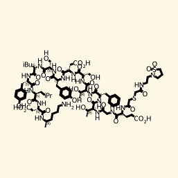 CC[C@H](C)[C@H](NC(=O)[C@H](CO)NC(=O)[C@H](Cc1ccc(O)cc1)NC(=O)[C@H](CC(=O)O)NC(=O)[C@H](CO)NC(=O)[C@@H](NC(=O)[C@H](Cc1ccccc1)NC(=O)[C@@H](NC(=O)CNC(=O)[C@H](CCC(=O)O)NC(=O)CSCC(=O)NCCN1CCCS1(=O)=O)[C@@H](C)O)[C@@H](C)O)C(=O)N[C@@H](Cc1ccc(O)cc1)C(=O)N[C@@H](CC(C)C)C(=O)N[C@@H](CC(=O)O)C(=O)N[C@H](C)CCCCN